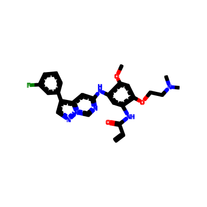 C=CC(=O)Nc1cc(Nc2cc3c(-c4cccc(F)c4)cnn3cn2)c(OC)cc1OCCN(C)C